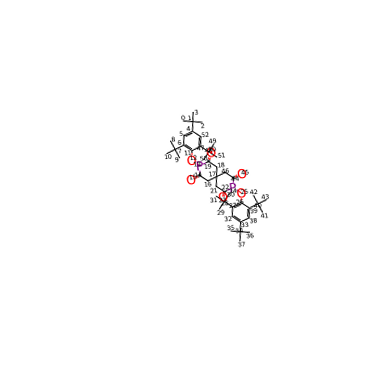 CC(C)(C)c1cc(C(C)(C)C)c(OP2C(=O)CC3(CC2=O)CC(=O)P(Oc2c(C(C)(C)C)cc(C(C)(C)C)cc2C(C)(C)C)C(=O)C3)c(C(C)(C)C)c1